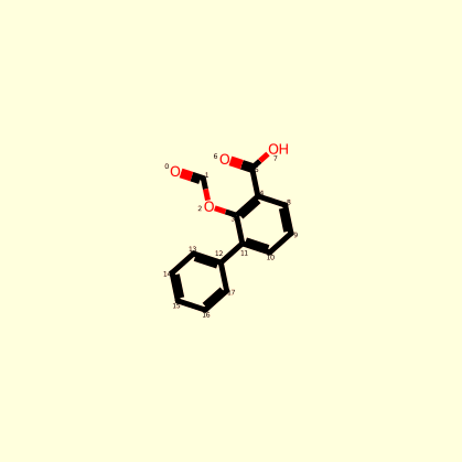 O=COc1c(C(=O)O)cccc1-c1ccccc1